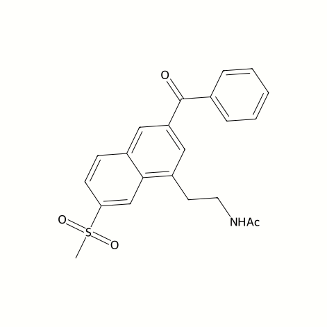 CC(=O)NCCc1cc(C(=O)c2ccccc2)cc2ccc(S(C)(=O)=O)cc12